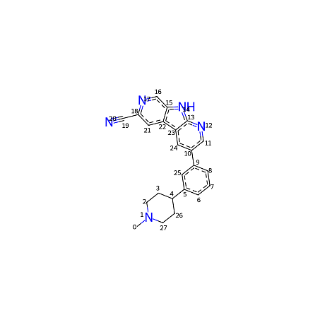 CN1CCC(c2cccc(-c3cnc4[nH]c5cnc(C#N)cc5c4c3)c2)CC1